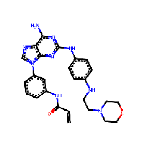 C=CC(=O)Nc1cccc(-n2cnc3c(N)nc(Nc4ccc(NCCN5CCOCC5)cc4)nc32)c1